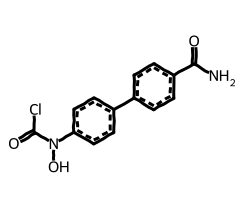 NC(=O)c1ccc(-c2ccc(N(O)C(=O)Cl)cc2)cc1